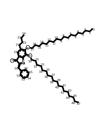 CCCCCCCCCCCCCCCCCCOc1c(CCCC)cc2c(c1OCCCCCCCCCCCCCCCCCC)SC(=Cc1ccccc1)C2=O